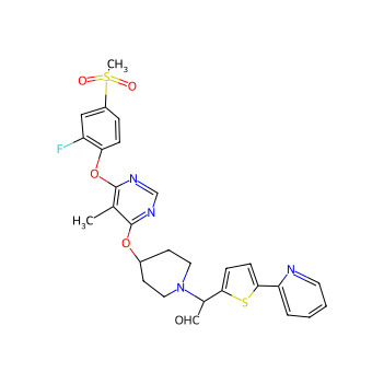 Cc1c(Oc2ccc(S(C)(=O)=O)cc2F)ncnc1OC1CCN(C(C=O)c2ccc(-c3ccccn3)s2)CC1